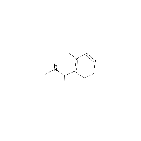 CNC(C)C1=C(C)C=CCC1